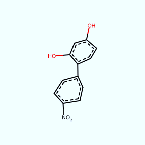 O=[N+]([O-])c1c[c]c(-c2ccc(O)cc2O)cc1